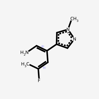 C/C(F)=C\C(=C/N)c1cnn(C)c1